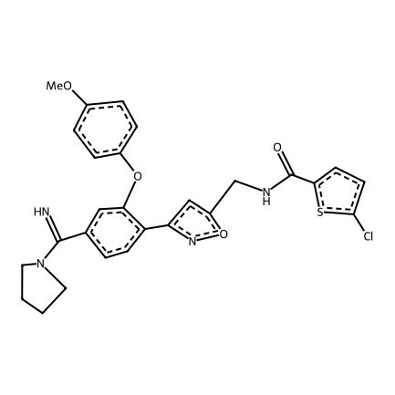 COc1ccc(Oc2cc(C(=N)N3CCCC3)ccc2-c2cc(CNC(=O)c3ccc(Cl)s3)on2)cc1